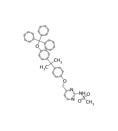 CC(C)(c1ccc(OCc2ccnc(NS(C)(=O)=O)n2)cc1)c1ccc(OC(c2ccccc2)(c2ccccc2)c2ccccc2)cc1